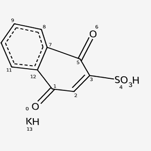 O=C1C=C(S(=O)(=O)O)C(=O)c2ccccc21.[KH]